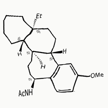 CC[C@@]12CCCC[C@H]1[C@@H]1C[C@H](NC(C)=O)c3c[c]c(OC)cc3[C@H]1CC2